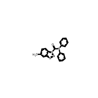 Cc1ccc2c(c1)nnn2C(=O)N(c1ccccc1)c1ccccc1